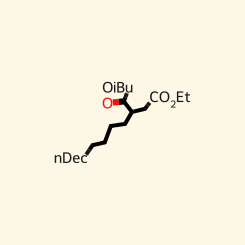 CCCCCCCCCCCCCCC(CC(=O)OCC)C(=O)OCC(C)C